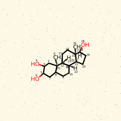 C[C@]12CC(O)C(O)CC1CC[C@@H]1[C@H]2CC[C@]2(C)C(O)CC[C@@H]12